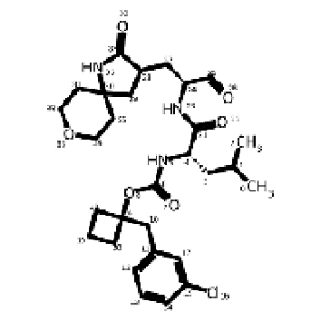 CC(C)C[C@H](NC(=O)OC1(Cc2cccc(Cl)c2)CCC1)C(=O)N[C@H](C=O)CC1CC2(CCOCC2)NC1=O